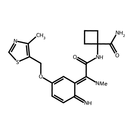 CN/C(C(=O)NC1(C(N)=O)CCC1)=C1/C=C(OCc2scnc2C)C=CC1=N